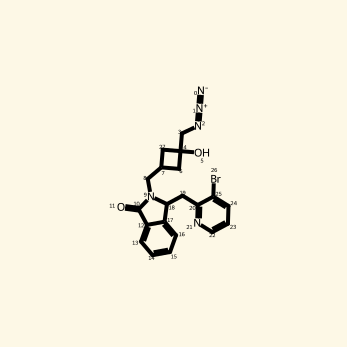 [N-]=[N+]=NCC1(O)CC(CN2C(=O)c3ccccc3C2Cc2ncccc2Br)C1